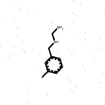 NCNCc1cccc(I)c1